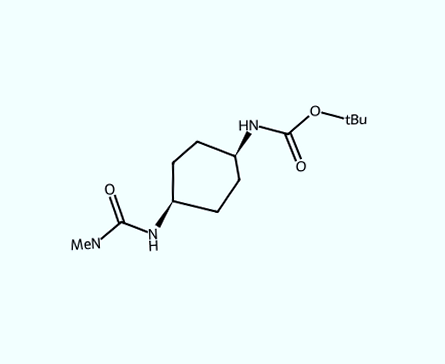 CNC(=O)N[C@H]1CC[C@@H](NC(=O)OC(C)(C)C)CC1